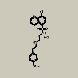 COc1ccc(CCNCCNS(=O)(=O)c2ccc(Cl)c3ncccc23)cc1.Cl